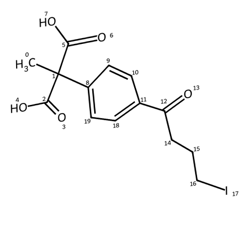 CC(C(=O)O)(C(=O)O)c1ccc(C(=O)CCCI)cc1